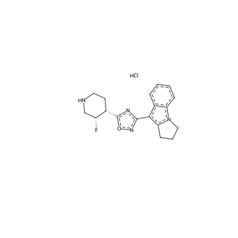 Cl.F[C@@H]1CNCC[C@@H]1c1nc(-c2c3n(c4ccccc24)CCC3)no1